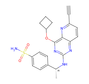 C#Cc1ccc2nc(N[C@H](C)c3ccc(S(N)(=O)=O)cc3)nc(OC3CCC3)c2n1